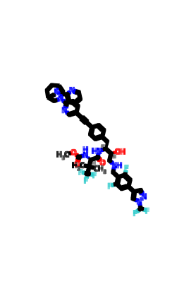 COC(=O)N[C@H](C(=O)N[C@@H](Cc1ccc(C#Cc2ccc(N3CC4CCC(C3)N(c3ccccn3)C4)nc2)cc1)[C@@H](O)CNCc1c(F)cc(-c2cnn(C(F)F)c2)cc1F)C(C)(C)C(F)(F)F